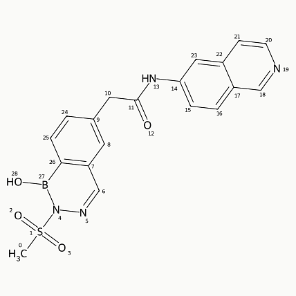 CS(=O)(=O)N1N=Cc2cc(CC(=O)Nc3ccc4cnccc4c3)ccc2B1O